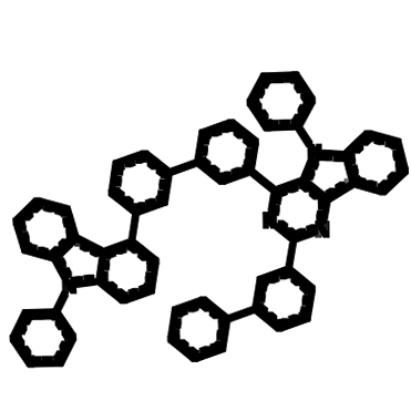 c1ccc(-c2cccc(-c3nc(-c4cccc(-c5cccc(-c6cccc7c6c6ccccc6n7-c6ccccc6)c5)c4)c4c(n3)c3ccccc3n4-c3ccccc3)c2)cc1